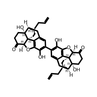 C=CCN1CC[C@]23c4c5cc(-c6cc7c8c(c6O)O[C@H]6C(=O)CC[C@@]9(O)[C@@H](C7)N(CC=C)CC[C@]869)c(O)c4O[C@H]2C(=O)CC[C@@]3(O)[C@H]1C5